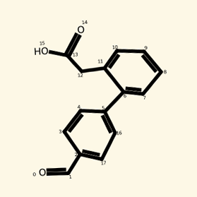 O=Cc1ccc(-c2ccccc2CC(=O)O)cc1